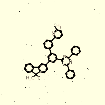 Cc1cccc(-c2cccc(-c3cc(-c4ccc5c(c4)-c4ccccc4C5(C)C)cc(-c4nc(-c5ccccc5)nc(-c5ccccc5)n4)c3)c2)n1